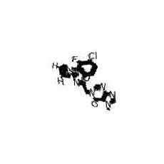 Cn1cnc2ncn(Cc3nc([C@@]45C6[C@H]4[C@H]5CN6c4c(F)ccc(Cl)c4F)no3)c(=O)c21